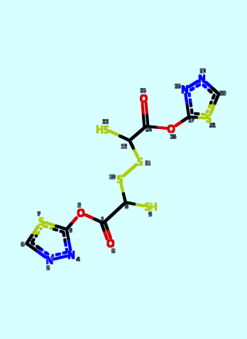 O=C(Oc1nncs1)C(S)SSC(S)C(=O)Oc1nncs1